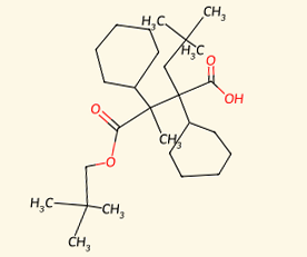 CC(C)(C)COC(=O)C(C)(C1CCCCC1)C(CC(C)(C)C)(C(=O)O)C1CCCCC1